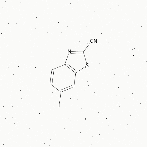 N#Cc1nc2ccc(I)cc2s1